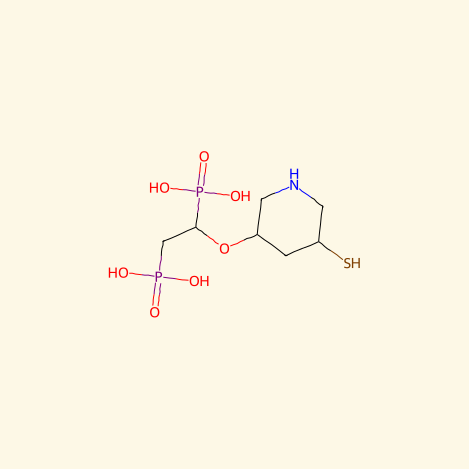 O=P(O)(O)CC(OC1CNCC(S)C1)P(=O)(O)O